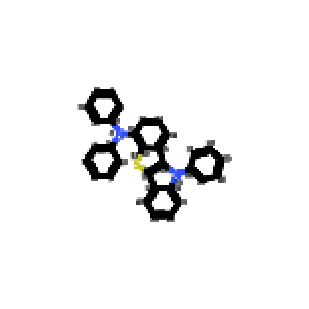 c1ccc(N(c2ccccc2)c2cccc3c2sc2c4ccccc4n(-c4ccccc4)c32)cc1